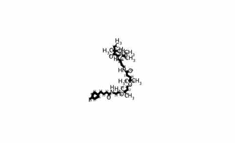 CCC(C)(C)C(=O)[C@H](CCCCNC(=O)CCC(C)(C)OCCC(C)(C)OCCNC(=O)CCCc1ccc(I)cc1)NC(C)(C)C